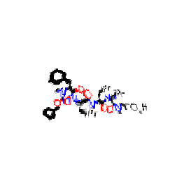 CC(C)C[C@H](NC(=O)[C@H](Cc1ccccc1)N(C)C(=O)OCc1ccccc1)C(=O)N(C)[C@@H](CC(C)C)C(=O)N[C@H](C(=O)N(C)CC(=O)O)C(C)C